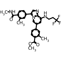 CNC(=O)c1ccc(-c2cnc3c(NCCC(F)(F)F)cc(-c4ccc(C(=O)OC)c(C)c4)cn23)cc1C